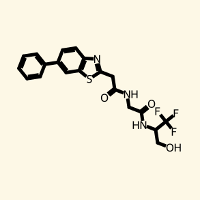 O=C(Cc1nc2ccc(-c3ccccc3)cc2s1)NCC(=O)NC(CO)C(F)(F)F